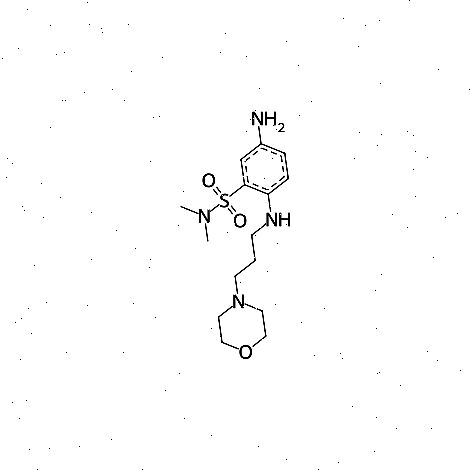 CN(C)S(=O)(=O)c1cc(N)ccc1NCCCN1CCOCC1